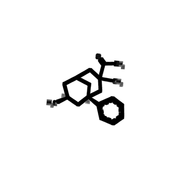 C[C@H]1CC2CC(C)(C(N)=O)C[C@@](c3ccccc3)(C2)C1